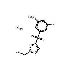 Cl.Cl.NCc1ncc(S(=O)(=O)c2cc(Br)cc(C(=O)O)c2)s1